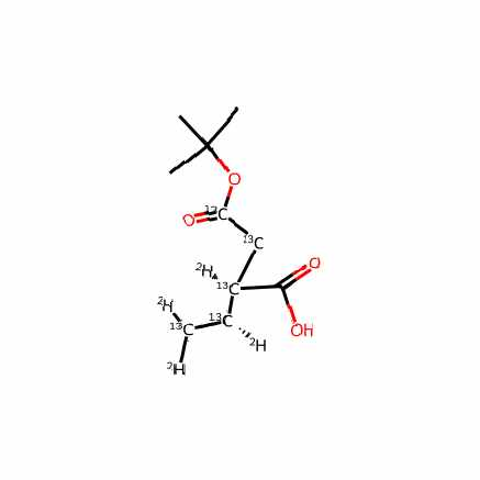 [2H][13CH]([2H])[13C@@H]([2H])[13C@@]([2H])([13CH2][13C](=O)OC(C)(C)C)C(=O)O